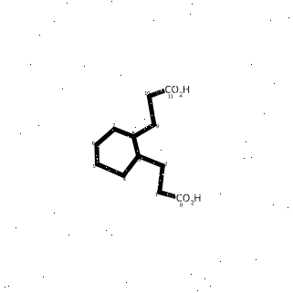 O=C(O)CCC1CCCCC1CCC(=O)O